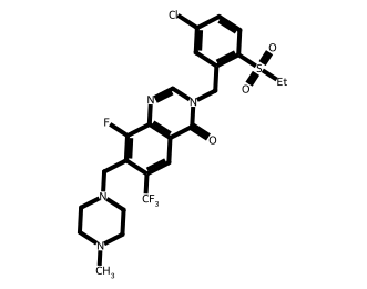 CCS(=O)(=O)c1ccc(Cl)cc1Cn1cnc2c(F)c(CN3CCN(C)CC3)c(C(F)(F)F)cc2c1=O